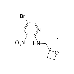 O=[N+]([O-])c1cc(Br)cnc1NCC1CCO1